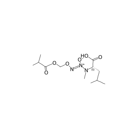 CC(C)C[C@@H](C(=O)O)N(C)[N+]([O-])=NOCOC(=O)C(C)C